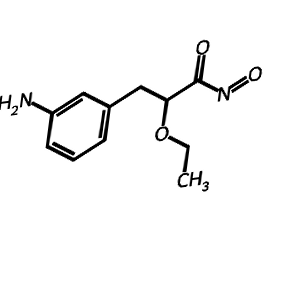 CCOC(Cc1cccc(N)c1)C(=O)N=O